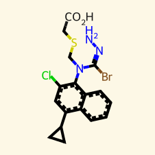 N/N=C(/Br)N(CSCC(=O)O)c1c(Cl)cc(C2CC2)c2ccccc12